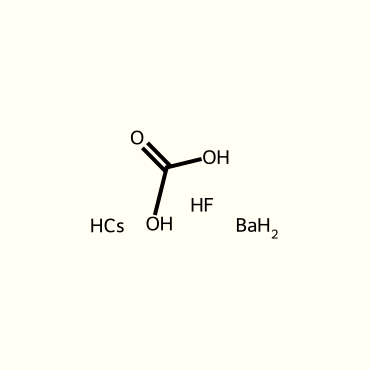 F.O=C(O)O.[BaH2].[CsH]